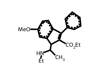 CCNC(C)C1C(C(=O)OCC)=C(c2ccccc2)c2ccc(OC)cc21